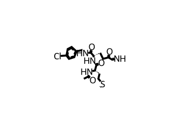 CSCC[C@H](NC(C)=O)C(=O)N[C@@H](CCC(=O)C=N)C(=O)NCc1ccc(Cl)cc1